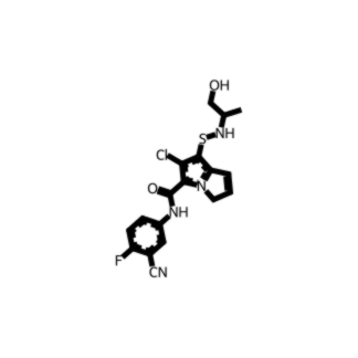 CC(CO)NSc1c(Cl)c(C(=O)Nc2ccc(F)c(C#N)c2)n2c1C=CC2